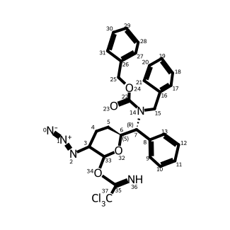 [N-]=[N+]=NC1CC[C@@H]([C@@H](c2ccccc2)N(Cc2ccccc2)C(=O)OCc2ccccc2)OC1OC(=N)C(Cl)(Cl)Cl